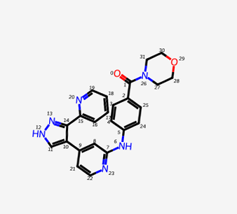 O=C(c1ccc(Nc2cc(-c3c[nH]nc3-c3ccccn3)ccn2)cc1)N1CCOCC1